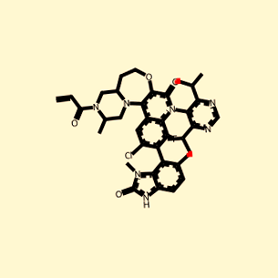 C=CC(=O)N1CC2CCOc3c(c4cc(Cl)c(-c5c(C)ccc6[nH]c(=O)n(C)c56)c(F)c4n(-c4c(C(C)C)ncnc4C(C)C)c3=O)N2CC1C